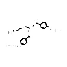 [CH2]COCCOC[C](OOC(=O)c1ccc(OCCCCCC)cc1)OOC(=O)c1ccc(OCCCCCC)cc1